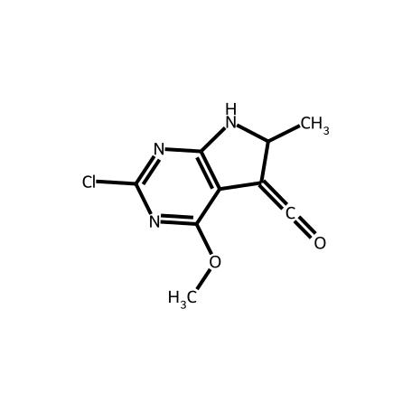 COc1nc(Cl)nc2c1C(=C=O)C(C)N2